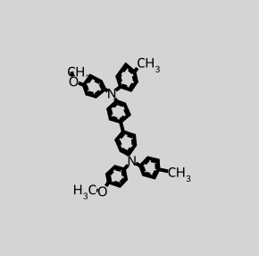 COc1ccc(N(c2ccc(C)cc2)c2ccc(-c3ccc(N(c4ccc(C)cc4)c4ccc(OC)cc4)cc3)cc2)cc1